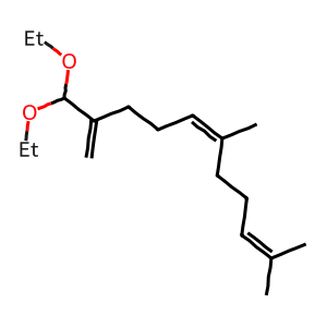 C=C(CCC=C(C)CCC=C(C)C)C(OCC)OCC